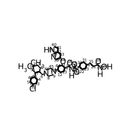 CC1(C)CCC(CN2CCN(c3ccc(C(=O)NS(=O)(=O)c4ccc(/C=C/C(=O)NO)cc4)c(Oc4cnc5[nH]ccc5c4)c3)CC2)=C(c2ccc(Cl)cc2)C1